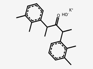 Cc1cccc(C(C)C(=O)C(C)c2cccc(C)c2C)c1C.[K+].[OH-]